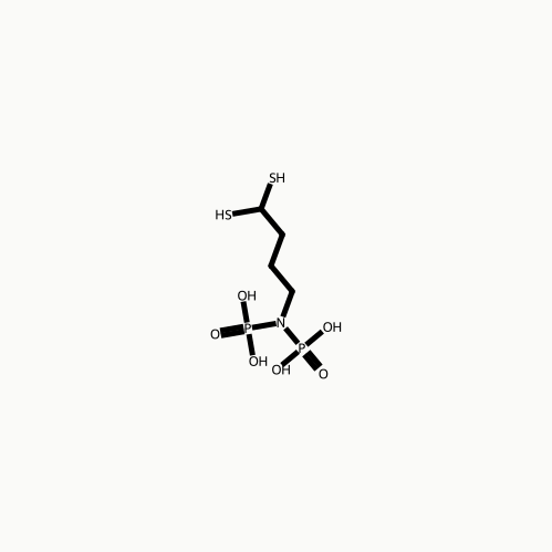 O=P(O)(O)N(CCCC(S)S)P(=O)(O)O